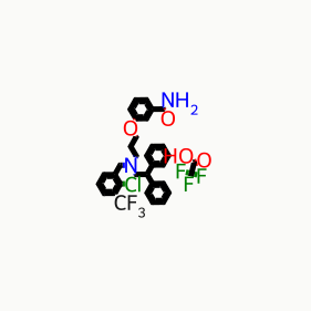 NC(=O)c1cccc(OCCCN(Cc2cccc(C(F)(F)F)c2Cl)CC(c2ccccc2)c2ccccc2)c1.O=C(O)C(F)(F)F